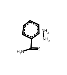 NC(=S)c1ccccc1.NN